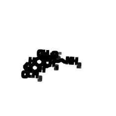 C[C@H]1C[C@H]2[C@@H]3CCC(=O)[C@@]3(C)CC[C@@H]2[C@@]2(C)CC[C@@H]([S+]([O-])CCCN)C[C@]12O